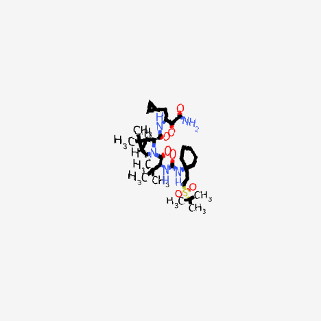 CC(C)(C)[C@H](NC(=O)NC1(CCS(=O)(=O)C(C)(C)C)CCCCC1)C(=O)N1C[C@H]2[C@@H]([C@H]1C(=O)NC(CC1CC1)C(=O)C(N)=O)C2(C)C